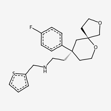 Fc1ccc([C@]2(CCNCc3cccs3)CCO[C@]3(CCOC3)C2)cc1